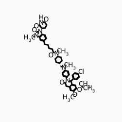 COc1cc2c(cc1OC(C)C)C(c1ccc(Cl)cc1)N(c1ccc(N(C)C[C@H]3CC[C@H](N(C)C(=O)CCCCc4ccc5c(c4)n(C)c(=O)n5C4CCC(=O)NC4=O)CC3)cc1)C(=O)C2